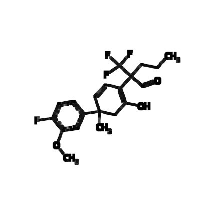 CCCC(C=O)(C1=C(O)CC(C)(c2ccc(F)c(OC)c2)C=C1)C(F)(F)F